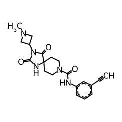 C#Cc1cccc(NC(=O)N2CCC3(CC2)NC(=O)N(C2CN(C)C2)C3=O)c1